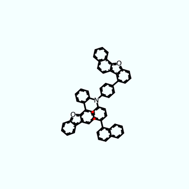 c1ccc(N(c2ccc(-c3cccc4ccccc34)cc2)c2ccc(-c3cccc4oc5c6ccccc6ccc5c34)cc2)c(-c2cccc3c2oc2ccccc23)c1